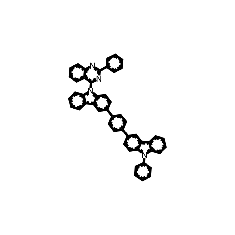 c1ccc(-c2nc(-n3c4ccccc4c4cc(-c5ccc(-c6ccc7c(c6)c6ccccc6n7-c6ccccc6)cc5)ccc43)c3ccccc3n2)cc1